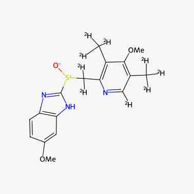 [2H]c1nc(C([2H])([2H])[S+]([O-])c2nc3ccc(OC)cc3[nH]2)c(C([2H])([2H])[2H])c(OC)c1C([2H])([2H])[2H]